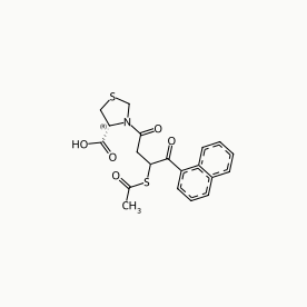 CC(=O)SC(CC(=O)N1CSC[C@H]1C(=O)O)C(=O)c1cccc2ccccc12